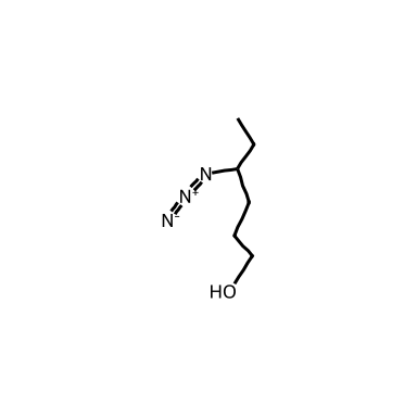 CCC(CCCO)N=[N+]=[N-]